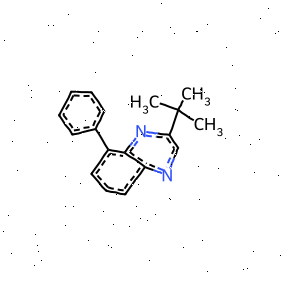 CC(C)(C)c1cnc2cccc(-c3ccccc3)c2n1